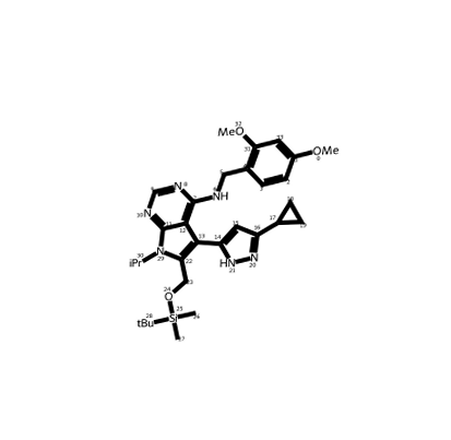 COc1ccc(CNc2ncnc3c2c(-c2cc(C4CC4)n[nH]2)c(CO[Si](C)(C)C(C)(C)C)n3C(C)C)c(OC)c1